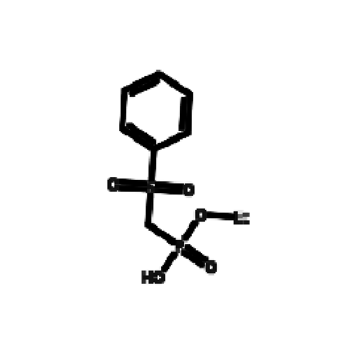 CCOP(=O)(O)CS(=O)(=O)c1ccccc1